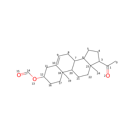 CC(=O)C1CCC2C3CC=C4CC(OC=O)CCC4(C)C3CCC12C